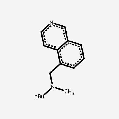 CCCCN(C)Cc1cccc2cnccc12